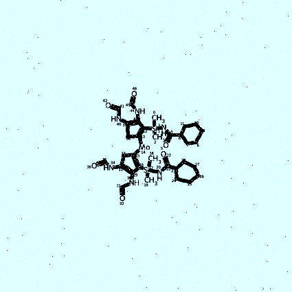 C[Si](C)(NC(=O)C1CCCCC1)C1=[C]([Mo][C]2=C([Si](C)(C)NC(=O)C3CCCCC3)C(NC=O)=C(NC=O)C2)CC(NC=O)=C1NC=O